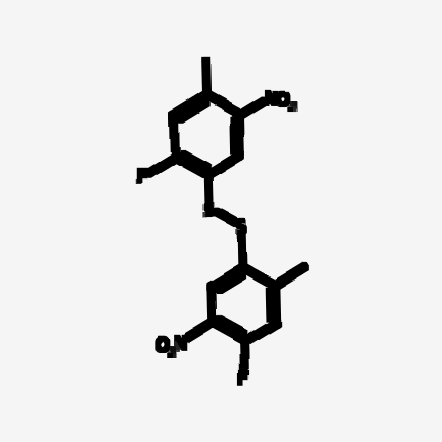 Cc1cc(F)c([N+](=O)[O-])cc1SSc1cc([N+](=O)[O-])c(C)cc1F